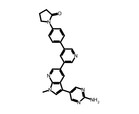 Cn1cc(-c2cnc(N)nc2)c2cc(-c3cncc(-c4ccc(N5CCCC5=O)cc4)c3)cnc21